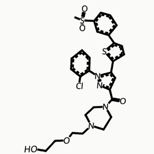 CS(=O)(=O)c1cccc(-c2ccc(-c3cc(C(=O)N4CCN(CCOCCO)CC4)nn3-c3ccccc3Cl)s2)c1